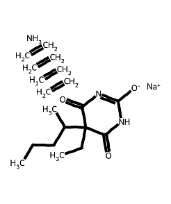 C=C.C=C.C=C.C=C.CCCC(C)C1(CC)C(=O)N=C([O-])NC1=O.N.[Na+]